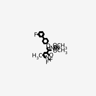 Cc1cc(C(CNS(=O)(=O)N(C)C)COC2CCC(c3cccc(F)c3)CC2)c(=O)n(C(F)F)c1